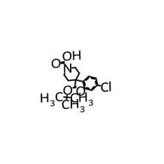 CC(C)(C)OC(=O)C1(c2ccc(Cl)cc2)CCN(C(=O)O)CC1